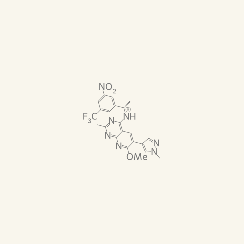 COc1nc2nc(C)nc(N[C@H](C)c3cc([N+](=O)[O-])cc(C(F)(F)F)c3)c2cc1-c1cnn(C)c1